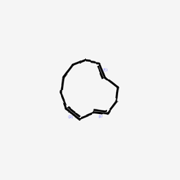 [CH]1/C=C/C=C\CCCC/C=C/C1